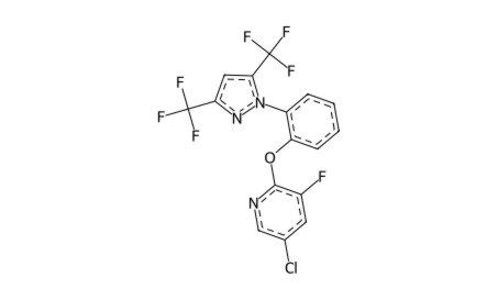 Fc1cc(Cl)cnc1Oc1ccccc1-n1nc(C(F)(F)F)cc1C(F)(F)F